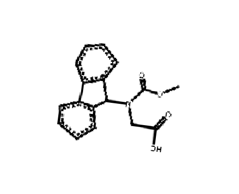 COC(=O)N(CC(=O)O)C1c2ccccc2-c2ccccc21